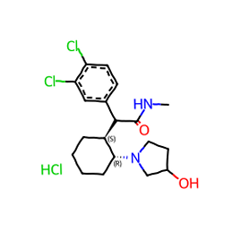 CNC(=O)C(c1ccc(Cl)c(Cl)c1)[C@@H]1CCCC[C@H]1N1CCC(O)C1.Cl